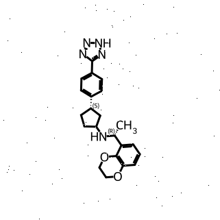 C[C@@H](NC1CC[C@H](c2ccc(-c3nn[nH]n3)cc2)C1)c1cccc2c1OCCO2